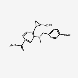 COC(=O)c1ccc(C2CC2C=O)c(N(C)Cc2ccc(OC)cc2)c1